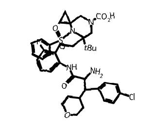 CC(C)(C)C1(CCc2c(F)cccc2NC(=O)C(N)C(c2ccc(Cl)cc2)C2CCOCC2)CN(C(=O)O)CC2(CC2)N1S(=O)(=O)c1ccccc1